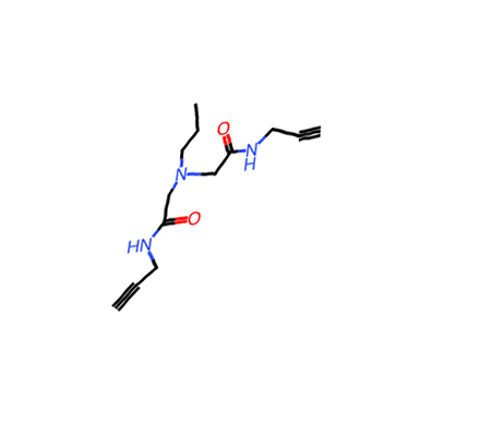 C#CCNC(=O)CN(CCC)CC(=O)NCC#C